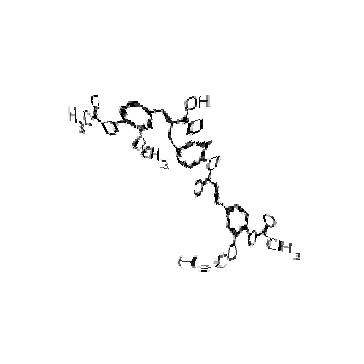 COc1cc(/C=C/C(=O)Oc2ccc(C/C(=C\c3ccc(OC(C)=O)c(OC)c3)C(=O)O)cc2)ccc1OC(C)=O